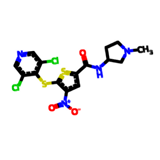 CN1CCC(NC(=O)c2cc([N+](=O)[O-])c(Sc3c(Cl)cncc3Cl)s2)C1